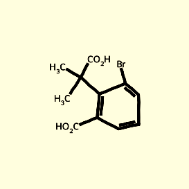 CC(C)(C(=O)O)c1c(Br)cccc1C(=O)O